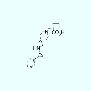 CC1(CN[C@@H]2C[C@H]2c2ccccc2)CCN(CC2(C(=O)O)CCC2)CC1